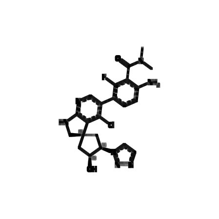 CN(C)C(=O)c1c(N)ccc(-c2cnc3c(c2Cl)[C@]2(CN3)C[C@@H](n3ccnn3)[C@@H](O)C2)c1F